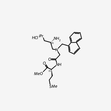 COC(=O)[C@H](CCSC)NC(=O)CN(Cc1cccc2ccccc12)C[C@@H](N)CC(C)C.Cl